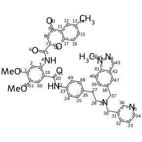 COc1cc(NC(=O)c2cc(=O)c3cc(C)ccc3o2)c(C(=O)Nc2ccc(CCN(Cc3cccnc3)Cc3ccc4c(cnn4C)c3)cc2)cc1OC